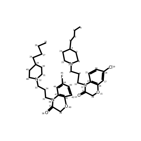 CCCCC1CCN(CCCN2C(=O)COc3cc(Cl)ccc32)CC1.CCCCC1CCN(CCCN2C(=O)COc3ccc(F)cc32)CC1